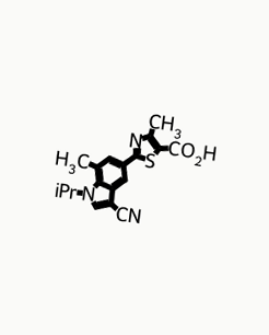 Cc1nc(-c2cc(C)c3c(c2)c(C#N)cn3C(C)C)sc1C(=O)O